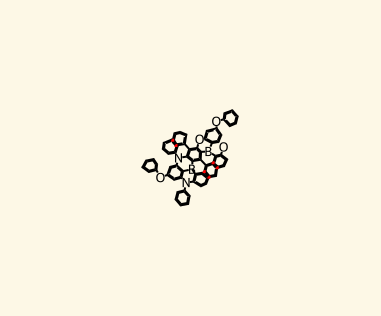 c1ccc(Oc2cc3c4c(c2)Oc2c(c(-c5ccccc5)c5c(c2-c2ccccc2)N(c2ccccc2)c2cc(Oc6ccccc6)cc6c2B5c2ccccc2N6c2ccccc2)B4c2ccccc2O3)cc1